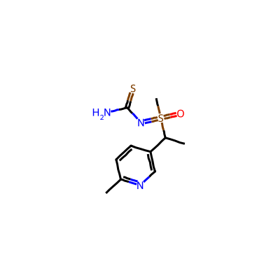 Cc1ccc(C(C)S(C)(=O)=NC(N)=S)cn1